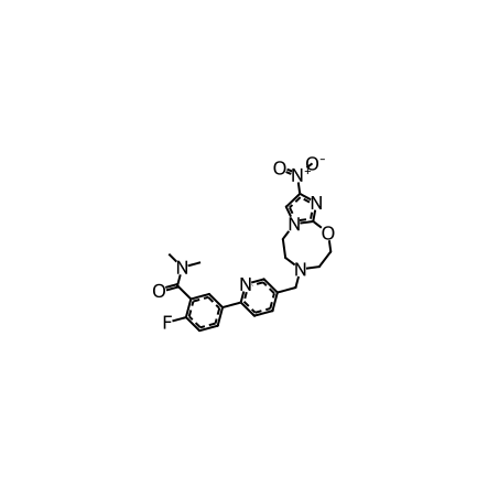 CN(C)C(=O)c1cc(-c2ccc(CN3CCOc4nc([N+](=O)[O-])cn4CC3)cn2)ccc1F